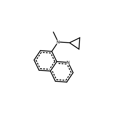 CN(c1cccc2cccnc12)C1CC1